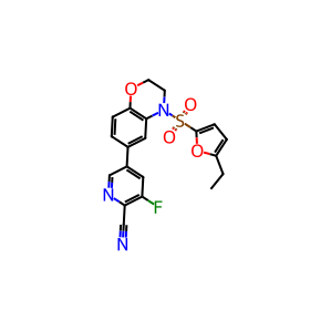 CCc1ccc(S(=O)(=O)N2CCOc3ccc(-c4cnc(C#N)c(F)c4)cc32)o1